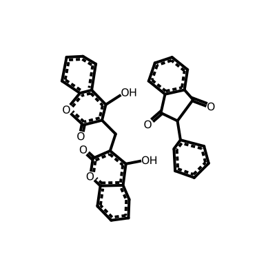 O=C1c2ccccc2C(=O)C1c1ccccc1.O=c1oc2ccccc2c(O)c1Cc1c(O)c2ccccc2oc1=O